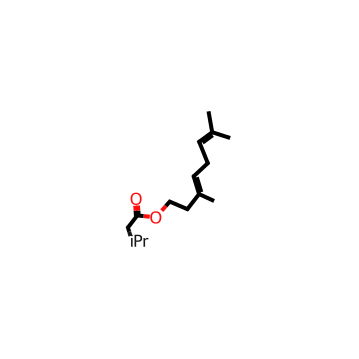 CC(C)=CCC=C(C)CCOC(=O)CC(C)C